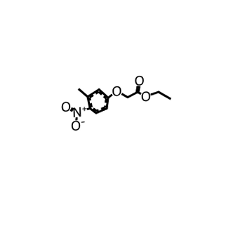 CCOC(=O)COc1ccc([N+](=O)[O-])c(C)c1